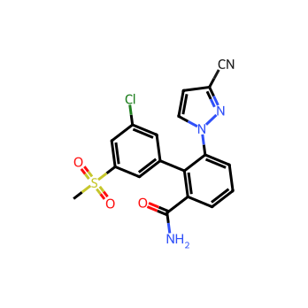 CS(=O)(=O)c1cc(Cl)cc(-c2c(C(N)=O)cccc2-n2ccc(C#N)n2)c1